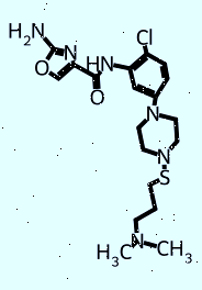 CN(C)CCCSN1CCN(c2ccc(Cl)c(NC(=O)c3coc(N)n3)c2)CC1